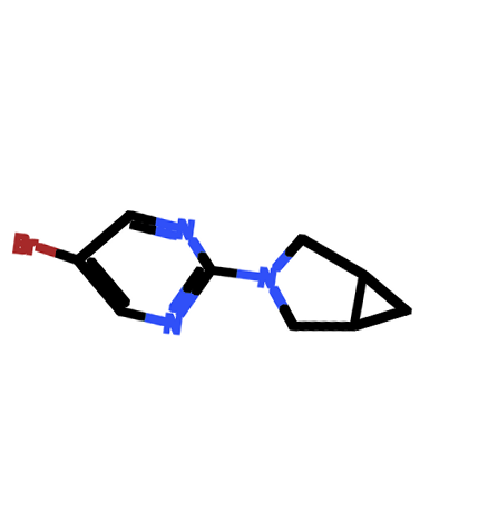 Brc1cnc(N2CC3CC3C2)nc1